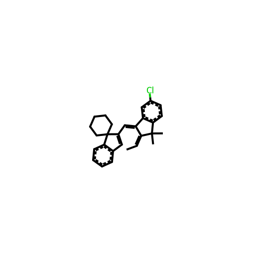 C/C=C1\C(=C/C2=Cc3ccccc3C23CCCCC3)c2cc(Cl)ccc2C1(C)C